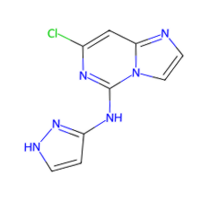 Clc1cc2nccn2c(Nc2cc[nH]n2)n1